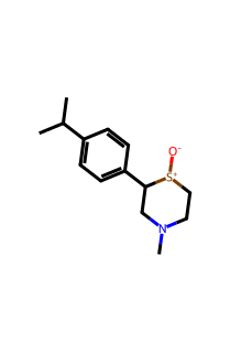 CC(C)c1ccc(C2CN(C)CC[S+]2[O-])cc1